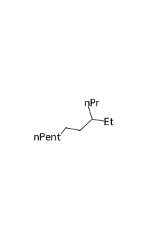 [CH2]CCCCCCC(CC)CC[CH2]